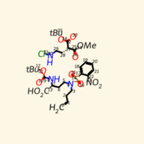 C=CCCN(CC[C@H](NC(=O)OC(C)(C)C)C(=O)O)S(=O)(=O)c1ccccc1[N+](=O)[O-].COC(=O)[C@H](CCNCl)C(=O)OC(C)(C)C